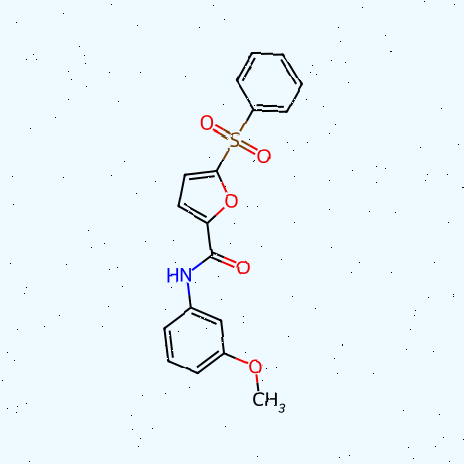 COc1cccc(NC(=O)c2ccc(S(=O)(=O)c3ccccc3)o2)c1